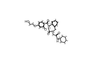 O=C(CN1Cc2ccccc2N(C(=O)c2ccc(OCCO)cc2Cl)CC1=O)NC1CCCCC1